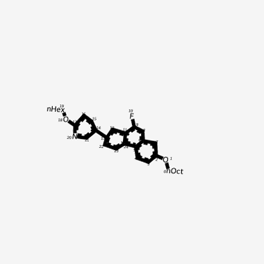 CCCCCCCCOc1ccc2c(c1)cc(F)c1cc(-c3ccc(OCCCCCC)nc3)ccc12